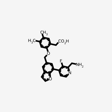 Cc1cc(CC(=O)O)c(OCc2cc(-c3ccnc(CN)c3F)c3occc3c2)cc1C